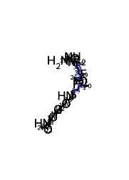 C=C/C(=C\C=C\SNCCOCCOCCOCCNC(C)=O)O/C(C(=C)F)=C(F)/C=C/C=C(\C)C(=O)N=C(N)N